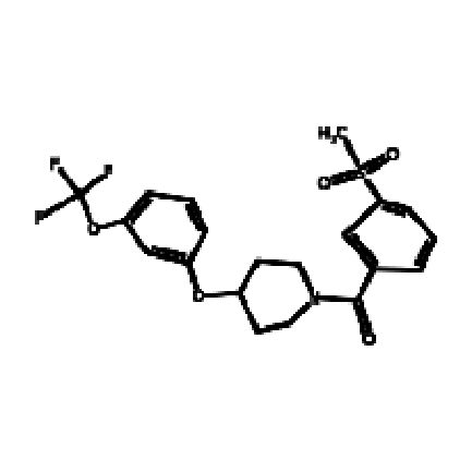 CS(=O)(=O)c1cccc(C(=O)N2CCC(Oc3cccc(OC(F)(F)F)c3)CC2)c1